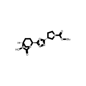 CC(C)(C)OC(=O)N1CC[C@@H](c2nnc([C@@H]3CC[C@H]4CN3C(=O)N4O)o2)C1